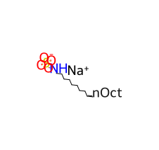 CCCCCCCC/C=C\CCCCCCCCNOS(=O)(=O)[O-].[Na+]